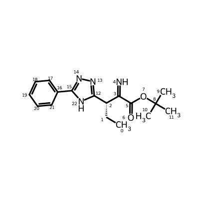 CC[C@@H](C(=N)C(=O)OC(C)(C)C)c1nnc(-c2ccccc2)[nH]1